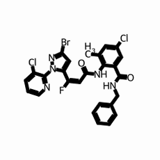 Cc1cc(Cl)cc(C(=O)NCc2ccccc2)c1NC(=O)/C=C(/F)c1cc(Br)nn1-c1ncccc1Cl